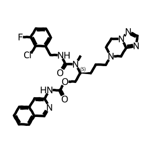 CN(C(=O)NCc1cccc(F)c1Cl)[C@@H](CCCN1CCn2ncnc2C1)COC(=O)Nc1cc2ccccc2cn1